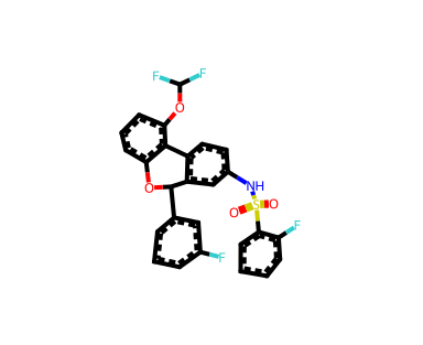 O=S(=O)(Nc1ccc2c(c1)C(c1cccc(F)c1)Oc1cccc(OC(F)F)c1-2)c1ccccc1F